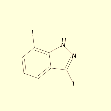 Ic1n[nH]c2c(I)cccc12